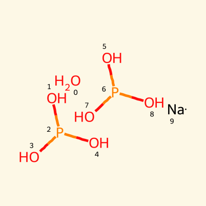 O.OP(O)O.OP(O)O.[Na]